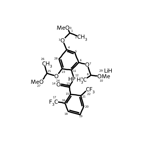 COC(C)Oc1cc(OC(C)OC)c(PC(=O)c2c(C(F)(F)F)cccc2C(F)(F)F)c(OC(C)OC)c1.[LiH]